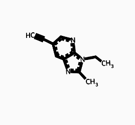 C#Cc1cnc2c(c1)nc(C)n2CC